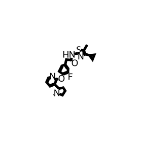 Cc1sc(NC(=O)Cc2ccc(Oc3ncccc3C3CCCN3C)c(F)c2)nc1C1CC1